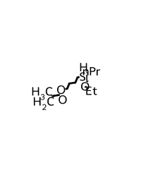 C=C(C)C(=O)OCCCC[SiH](CCC)COCC